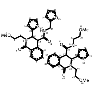 COCCN1C(=O)c2ccccc2C(C(=O)NCc2ccco2)C1c1cccs1.COCCNC(=O)C1c2ccccc2C(=O)N(CCOC)C1c1cccs1